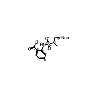 CCCCCCCCCCC(C)S(=O)(=O)Nc1ccccc1C(=O)Cl